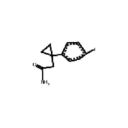 NC(=O)CC1(c2ccc(I)cc2)CC1